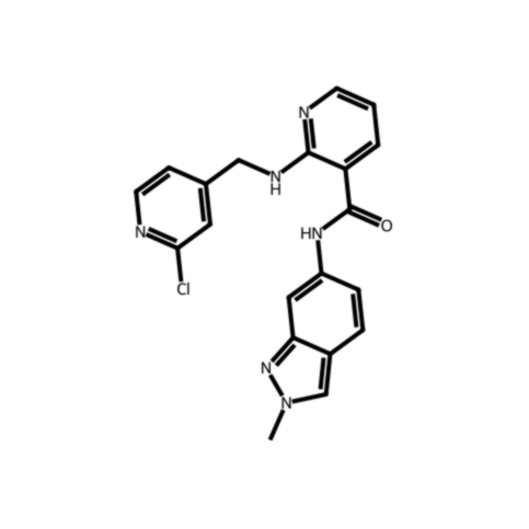 Cn1cc2ccc(NC(=O)c3cccnc3NCc3ccnc(Cl)c3)cc2n1